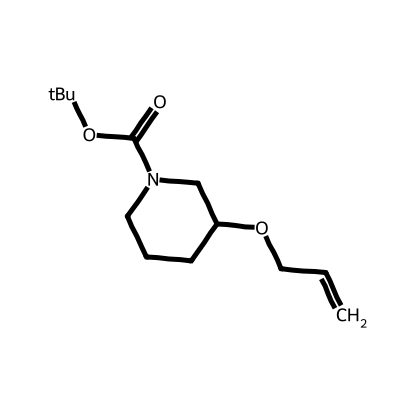 C=CCOC1CCCN(C(=O)OC(C)(C)C)C1